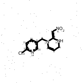 O=[N+]([O-])C=C1NCC=CN1Cc1ccc(Cl)nc1